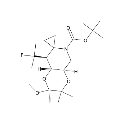 CO[C@@]1(C)O[C@H]2[C@@H](CN(C(=O)OC(C)(C)C)C3(CC3)[C@@H]2C(C)(C)F)OC1(C)C